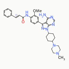 COc1cc(-c2nn(C3CCC(N4CCN(C)CC4)CC3)c3ncnc(N)c23)ccc1NC(=O)/C=C/c1ccccc1